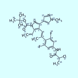 C=Cc1c(/C=C(\C)c2c(F)cc(NC(=O)C(C)Cl)cc2F)c(-c2cnn(C)c2)nn1C(=O)OC(C)(C)C